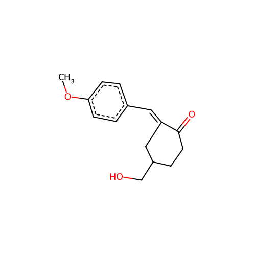 COc1ccc(C=C2CC(CO)CCC2=O)cc1